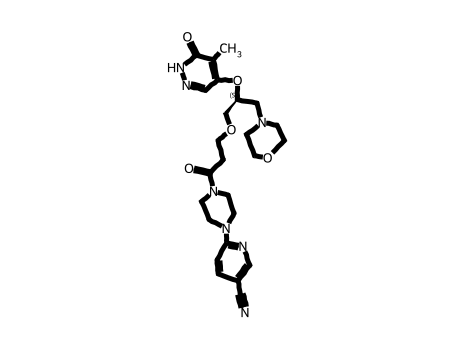 Cc1c(O[C@H](COCCC(=O)N2CCN(c3ccc(C#N)cn3)CC2)CN2CCOCC2)cn[nH]c1=O